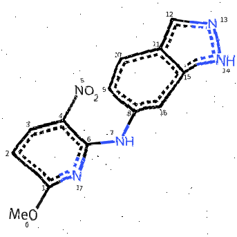 COc1ccc([N+](=O)[O-])c(Nc2ccc3cn[nH]c3c2)n1